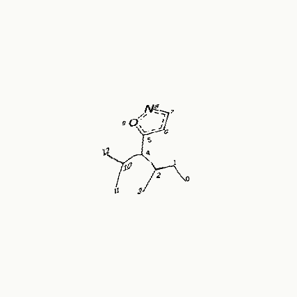 CCC(C)C(c1ccno1)C(C)C